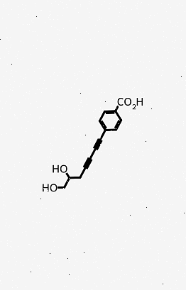 O=C(O)c1ccc(C#CC#CCC(O)CO)cc1